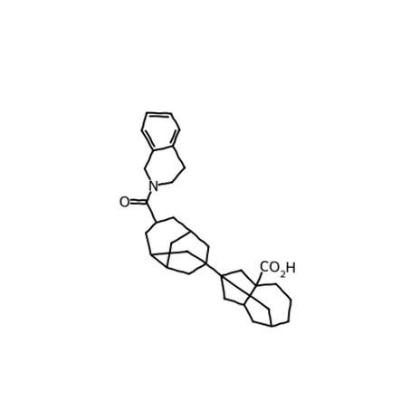 O=C(C1CC2CC3CC(C45CC6CCCC(C(=O)O)(C4)C(C6)C5)(C2)CC3C1)N1CCc2ccccc2C1